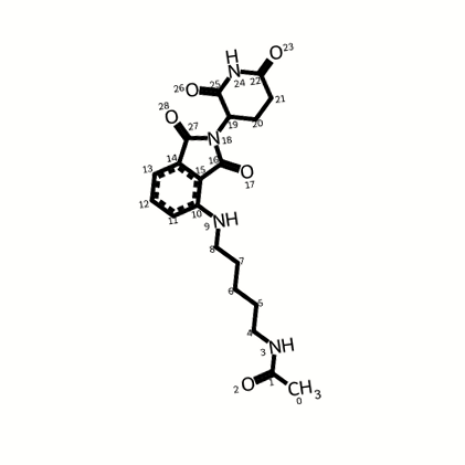 CC(=O)NCCCCCNc1cccc2c1C(=O)N(C1CCC(=O)NC1=O)C2=O